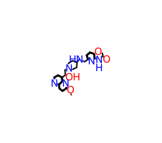 COc1ccc2nccc(C(O)CN3CCC(NCc4ccc5c(n4)NC(=O)CO5)CC3)c2n1